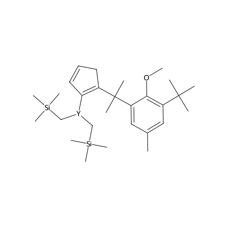 COc1c(C(C)(C)C)cc(C)cc1C(C)(C)C1=[C]([Y]([CH2][Si](C)(C)C)[CH2][Si](C)(C)C)C=CC1